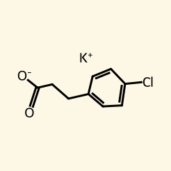 O=C([O-])CCc1ccc(Cl)cc1.[K+]